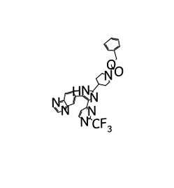 O=C(OCc1ccccc1)N1CCC(c2nc(-c3ccnc(C(F)(F)F)n3)c(-c3ccc4nccnc4c3)[nH]2)CC1